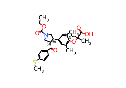 CCOC(=O)N1C[C@@H](C(=O)c2ccc(SC)cc2)[C@H](c2cc(C)c(OC(C)(C)C(=O)O)c(C)c2)C1